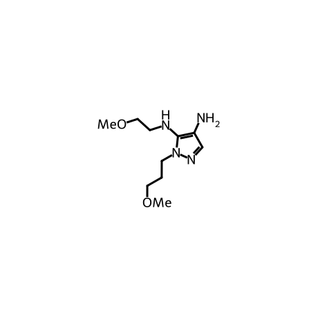 COCCCn1ncc(N)c1NCCOC